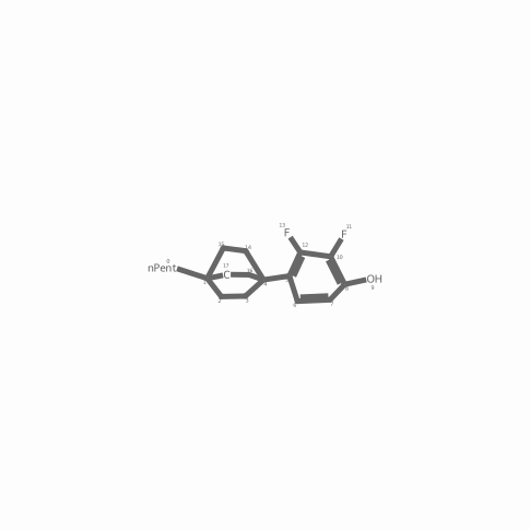 CCCCCC12CCC(c3ccc(O)c(F)c3F)(CC1)CC2